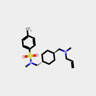 C=CCN(C)C[C@H]1CC[C@H](CN(C)S(=O)(=O)c2ccc(C(F)(F)F)cc2)CC1